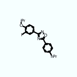 CCCc1ccc(-c2nc(-c3ccc(OC(C)C)c(I)c3)no2)cc1